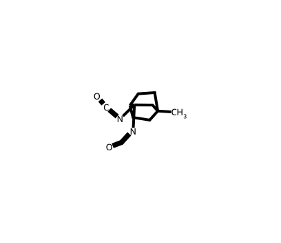 CC12CCC(CC1)C(N=C=O)(N=C=O)C2